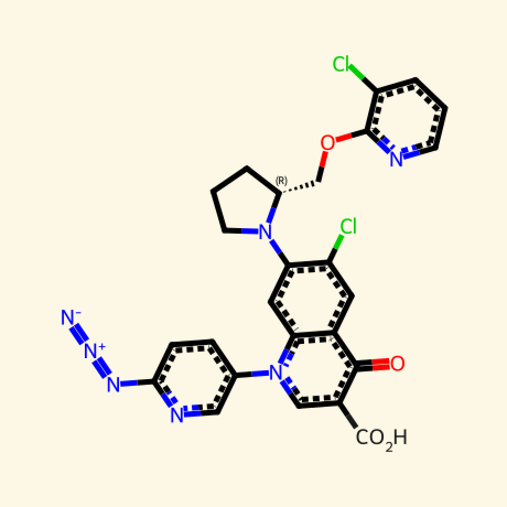 [N-]=[N+]=Nc1ccc(-n2cc(C(=O)O)c(=O)c3cc(Cl)c(N4CCC[C@@H]4COc4ncccc4Cl)cc32)cn1